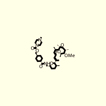 CO[C@H]([C@@H](C)[C@H]1O[C@]1(C)C[C@H](C)/C=C/C=C(\C)[C@H]1O[C@@H](CNC(=O)[C@H]2CC[C@H](COC(=O)N3CCN(C)CC3)CC2)CC[C@@H]1C)[C@@H](C)O